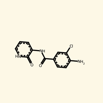 Nc1ccc(C(=O)Nc2ccc[nH]c2=O)cc1Cl